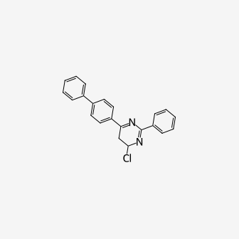 ClC1CC(c2ccc(-c3ccccc3)cc2)=NC(c2ccccc2)=N1